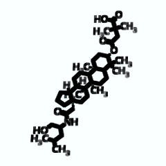 CC(C)CC(CO)NC(=O)C[C@]12CCC[C@@H]1[C@H]1CCC3[C@@]4(C)CC[C@H](OC(=O)CC(C)(C)C(=O)O)C(C)(C)C4CC[C@@]3(C)[C@]1(C)CC2